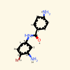 Nc1ccc(C(=O)Nc2ccc(Br)c(N)c2)cc1